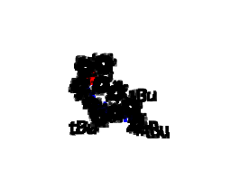 Cc1ccc(-c2ccccc2)cc1N(c1ccc2c3cc(C(C)(C)C)cc4c5cc6c(cc5n(c2c1)c34)c1cc(C(C)(C)C)cc2c3cc(C(C)(C)C)ccc3n6c21)c1c(C)ccc2c1oc1c(-c3ccccc3)cccc12